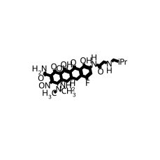 CC(C)CNCC(=O)Nc1cc(F)c2c(c1O)C(=O)C1=C(O)[C@]3(O)C(=O)C(C(N)=O)=C(N=O)[C@@H](N(C)C)[C@]3(N)C[C@@H]1C2